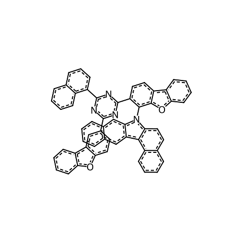 c1ccc2cc3c(cc2c1)c1c2ccccc2ccc1n3-c1c(-c2nc(-c3ccc4oc5ccccc5c4c3)nc(-c3cccc4ccccc34)n2)ccc2c1oc1ccccc12